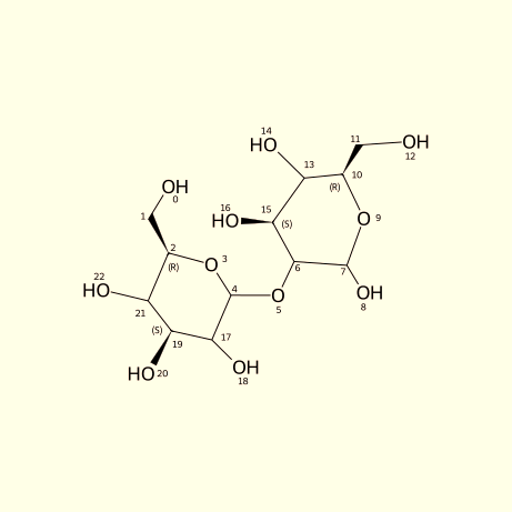 OC[C@H]1OC(OC2C(O)O[C@H](CO)C(O)[C@@H]2O)C(O)[C@@H](O)C1O